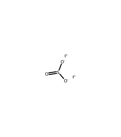 O=S([O-])[O-].[I+].[I+]